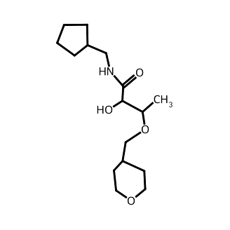 CC(OCC1CCOCC1)C(O)C(=O)NCC1CCCC1